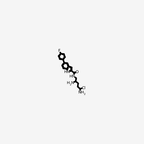 NC(Cl)CCC(N)CNC(=O)c1cc2cc(-c3ccc(F)cc3)ccc2[nH]1